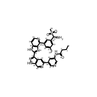 CCCC(=O)Nc1cncc(-c2cc3c(-c4nc5c(-c6cc(F)cc(C(N)S(C)(=O)=O)c6)nccc5[nH]4)n[nH]c3cn2)c1